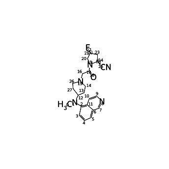 CN(c1cccc2cnccc12)C1CCN(CC(=O)N2C[C@@H](F)C[C@H]2C#N)CC1